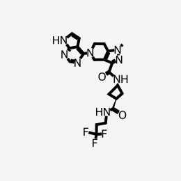 Cn1nc(C(=O)N[C@H]2C[C@H](C(=O)NCCC(F)(F)F)C2)c2c1CCN(c1ncnc3[nH]ccc13)C2